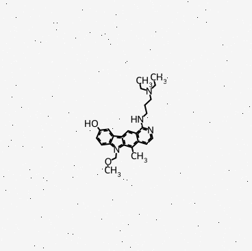 CCN(CC)CCCNc1nccc2c(C)c3c(cc12)c1cc(O)ccc1n3COC